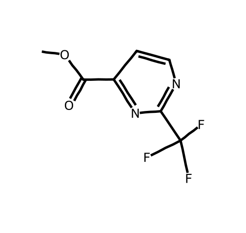 COC(=O)c1ccnc(C(F)(F)F)n1